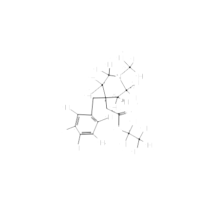 [2H]c1c([2H])c(C)c([2H])c(CC2(CC(=O)OC([2H])([2H])C([2H])([2H])[2H])C([2H])([2H])C([2H])([2H])N(C([2H])([2H])[2H])C([2H])([2H])C2([2H])[2H])c1[2H]